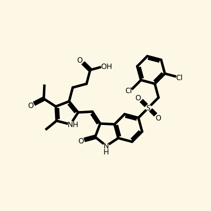 CC(=O)c1c(C)[nH]c(C=C2C(=O)Nc3ccc(S(=O)(=O)Cc4c(Cl)cccc4Cl)cc32)c1CCC(=O)O